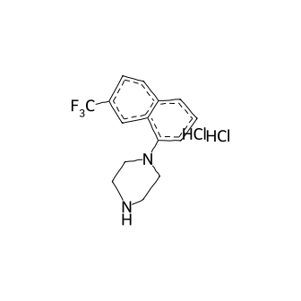 Cl.Cl.FC(F)(F)c1ccc2cccc(N3CCNCC3)c2c1